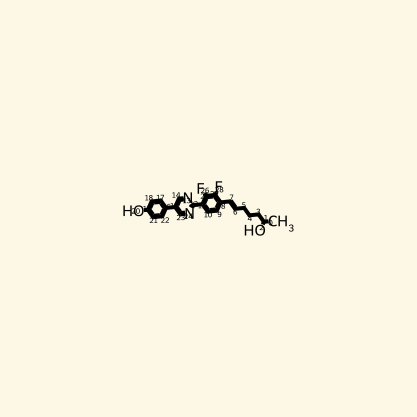 CC(O)CCCC=Cc1ccc(-c2ncc(-c3ccc(O)cc3)cn2)c(F)c1F